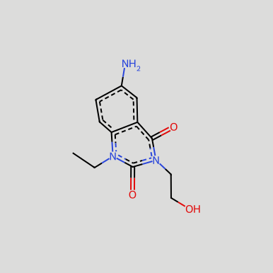 CCn1c(=O)n(CCO)c(=O)c2cc(N)ccc21